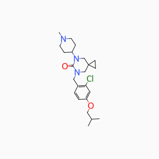 CC(C)COc1ccc(CN2CC3(CC3)CN(C3CCN(C)CC3)C2=O)c(Cl)c1